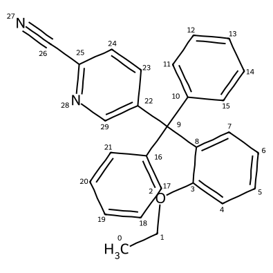 CCOc1ccccc1C(c1ccccc1)(c1ccccc1)c1ccc(C#N)nc1